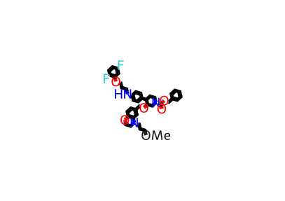 COCCCN1CCOc2ccc(COC3CN(C(=O)OCc4ccccc4)CCC3c3ccc(NCCCOc4cc(F)ccc4F)cc3)cc21